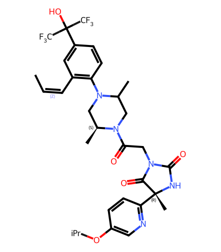 C/C=C\c1cc(C(O)(C(F)(F)F)C(F)(F)F)ccc1N1C[C@H](C)N(C(=O)CN2C(=O)N[C@](C)(c3ccc(OC(C)C)cn3)C2=O)CC1C